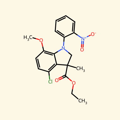 CCOC(=O)C1(C)CN(c2ccccc2[N+](=O)[O-])c2c(OC)ccc(Cl)c21